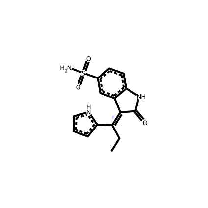 CC/C(=C1\C(=O)Nc2ccc(S(N)(=O)=O)cc21)c1ccc[nH]1